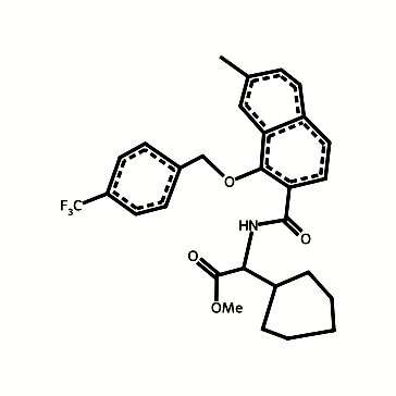 COC(=O)C(NC(=O)c1ccc2ccc(C)cc2c1OCc1ccc(C(F)(F)F)cc1)C1CCCCC1